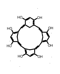 OC1=CC(O)=C2C=C3CC(=C(O)C=C3O)C=C3CC(=C(O)C=C3O)C=C3CC(=C(O)C=C3O)C=C1C2